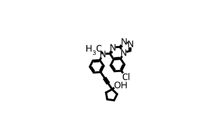 CN(c1cccc(C#CC2(O)CCCC2)c1)c1nc2nncn2c2cc(Cl)ccc12